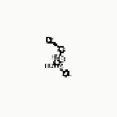 O=C(O)C[C@H](NC(=O)c1cncc(C#Cc2ccccc2)c1)C(=O)CSCc1ccc(F)cc1